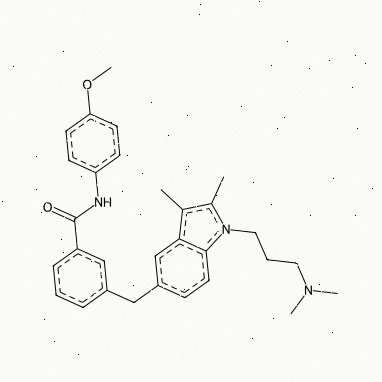 COc1ccc(NC(=O)c2cccc(Cc3ccc4c(c3)c(C)c(C)n4CCCN(C)C)c2)cc1